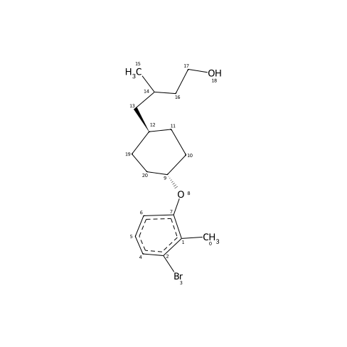 Cc1c(Br)cccc1O[C@H]1CC[C@H](CC(C)CCO)CC1